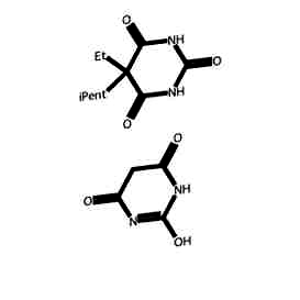 CCCC(C)C1(CC)C(=O)NC(=O)NC1=O.O=C1CC(=O)NC(O)=N1